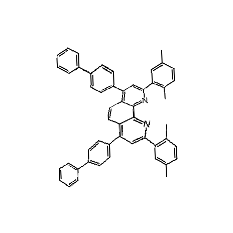 Cc1ccc(C)c(-c2cc(-c3ccc(-c4ccccc4)cc3)c3ccc4c(-c5ccc(-c6ccccc6)cc5)cc(-c5cc(C)ccc5C)nc4c3n2)c1